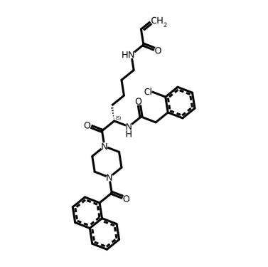 C=CC(=O)NCCCC[C@H](NC(=O)Cc1ccccc1Cl)C(=O)N1CCN(C(=O)c2cccc3ccccc23)CC1